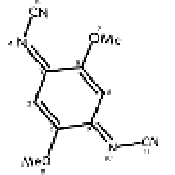 COC1=CC(=NC#N)C(OC)=CC1=NC#N